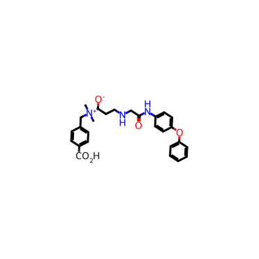 C[N+](C)(Cc1ccc(C(=O)O)cc1)C([O-])CCNCC(=O)Nc1ccc(Oc2ccccc2)cc1